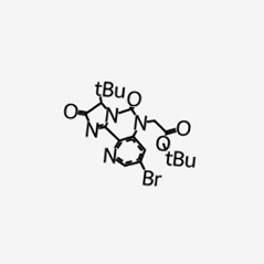 CC(C)(C)OC(=O)CN1C(=O)N2C(=NC(=O)C2C(C)(C)C)c2ncc(Br)cc21